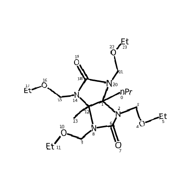 CCCC12N(COCC)C(=O)N(COCC)C1(C)N(COCC)C(=O)N2COCC